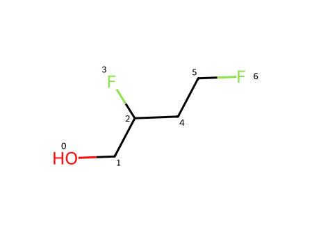 OCC(F)CCF